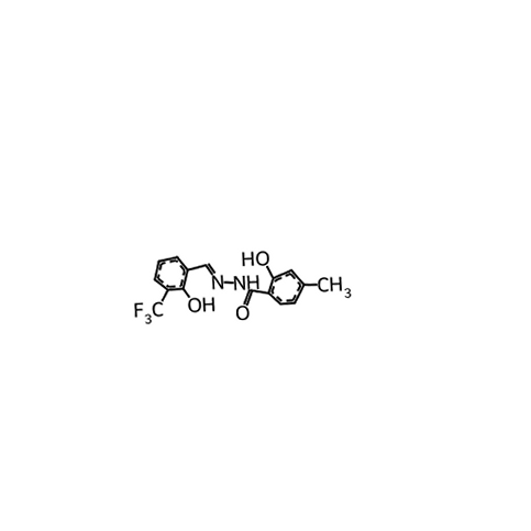 Cc1ccc(C(=O)N/N=C/c2cccc(C(F)(F)F)c2O)c(O)c1